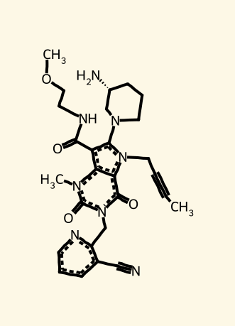 CC#CCn1c(N2CCC[C@@H](N)C2)c(C(=O)NCCOC)c2c1c(=O)n(Cc1ncccc1C#N)c(=O)n2C